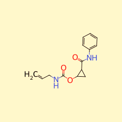 C=CCNC(=O)OC1CC1C(=O)Nc1ccccc1